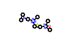 c1ccc(-c2nc(-c3ccc(-n4c5ccccc5c5ccccc54)cc3)nc(-c3cccc4c3sc3cc(-c5nc(-c6ccccc6)c6oc7ccccc7c6n5)ccc34)n2)cc1